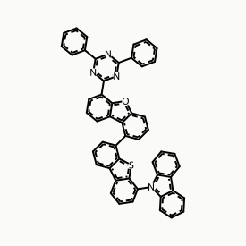 c1ccc(-c2nc(-c3ccccc3)nc(-c3cccc4c3oc3cccc(-c5cccc6c5sc5c(-n7c8ccccc8c8ccccc87)cccc56)c34)n2)cc1